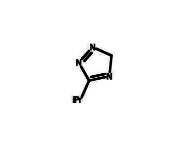 CC(C)C1=NCN=N1